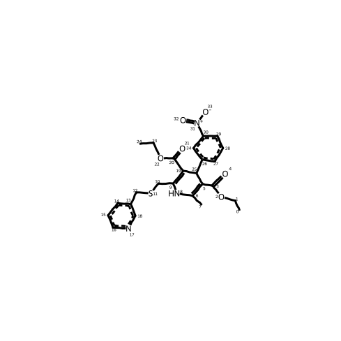 CCOC(=O)C1=C(C)NC(CSCc2cccnc2)=C(C(=O)OCC)C1c1cccc([N+](=O)[O-])c1